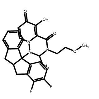 COCCN1C(=O)c2c(O)c(=O)ccn2N(C23c4ccccc4CC2Cc2c3ccc(F)c2F)C1C